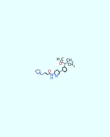 CC(=O)C(c1cccc(-c2ccc(NC(=O)/C=C/CN3CCCC3)nc2)c1)C(C)C